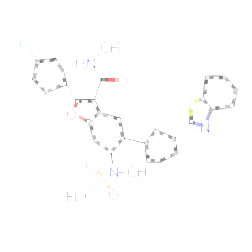 CNC(=O)c1c(-c2ccc(F)cc2)oc2cc(N(C)S(C)(=O)=O)c(-c3cccc(-c4nc5ccccc5s4)c3)cc12